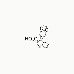 O=C(O)c1cnc2ccccc2c1N1CCC2(CC1)OCCO2